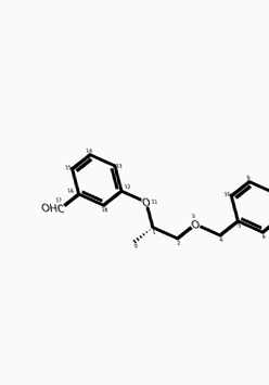 C[C@@H](COCc1ccccc1)Oc1cccc(C=O)c1